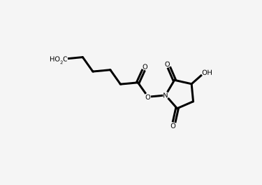 O=C(O)CCCCC(=O)ON1C(=O)CC(O)C1=O